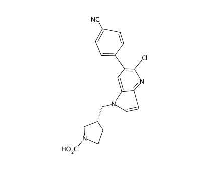 N#Cc1ccc(-c2cc3c(ccn3C[C@@H]3CCN(C(=O)O)C3)nc2Cl)cc1